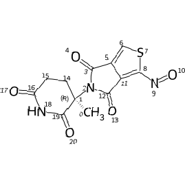 C[C@@]1(N2C(=O)c3csc(N=O)c3C2=O)CCC(=O)NC1=O